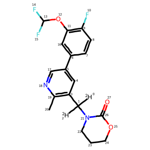 [2H]C([2H])(c1cc(-c2ccc(F)c(OC(F)F)c2)cnc1C)N1CCCOC1=O